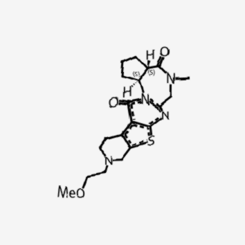 COCCN1CCc2c(sc3nc4n(c(=O)c23)[C@H]2CCC[C@@H]2C(=O)N(C)C4)C1